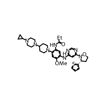 CCC(=O)Nc1cc(Nc2cc(N3OCC[C@@H]3c3cccs3)ncn2)c(OC)cc1N1CCC(N2CCN(C3CC3)CC2)CC1